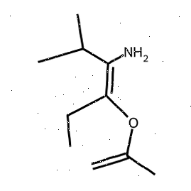 C=C(C)O/C(CC)=C(\N)C(C)C